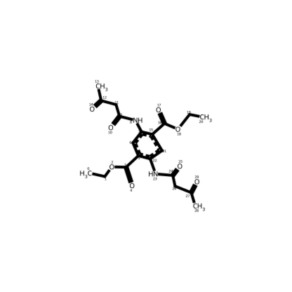 CCOC(=O)c1cc(NC(=O)CC(C)=O)c(C(=O)OCC)cc1NC(=O)CC(C)=O